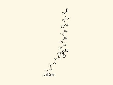 CCCCCCCCCCCCCCCCOS(=O)(=O)CCCCCCCCCCCF